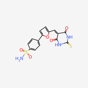 NS(=O)(=O)c1ccc(-c2ccc(C=C3C(=O)NC(=S)NC3=O)o2)cc1